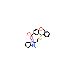 COC(=O)c1ccc2c(c1)C(SCCc1nc3ccccc3n1C)c1ccccc1CO2